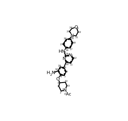 CC(=O)N1CCC(Oc2ccc(-c3ccnc(Nc4ccc(N5CCOCC5)cc4)n3)cc2N)CC1